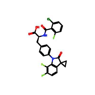 O=C(N[C@@H](Cc1ccc(N2C(=O)C3(CC3)c3ccc(F)c(F)c32)cc1)C(=O)O)c1c(F)cccc1Cl